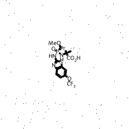 COCP(=O)(Nc1nc2ccc(OC(F)(F)F)cc2s1)NC(C)(C(=O)O)C(C)C